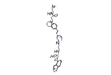 C\C=C/C(C=Cc1ccc2c(c1)CCCN2CCC(=O)NCCN(C)C)=C\C=N\CCCNCC(O)COc1cccc2ccccc12